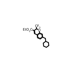 CCOC(=O)C1=Cc2ccc(CC3CCCCC3)cc2OC1C(F)(F)F